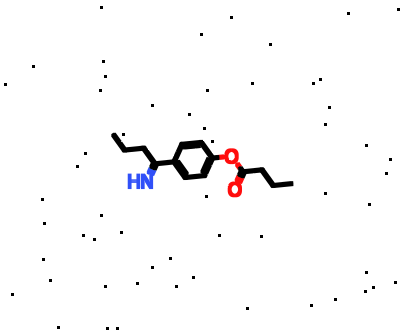 CCCC(=N)c1ccc(OC(=O)CCC)cc1